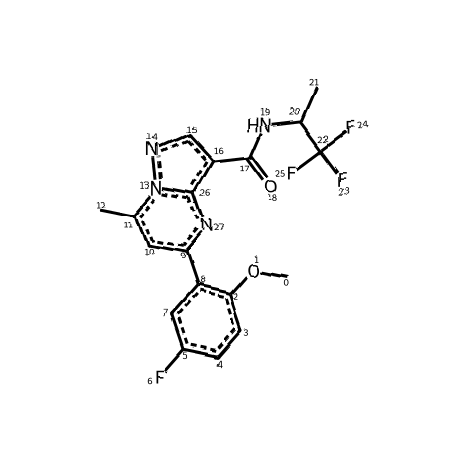 COc1ccc(F)cc1-c1cc(C)n2ncc(C(=O)NC(C)C(F)(F)F)c2n1